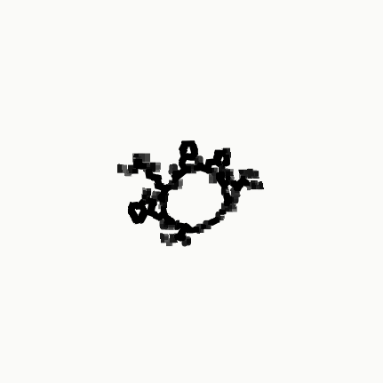 CCCCC(NC)C(=O)NC1CC(=O)NCCCCCC(C(N)=O)NC(=O)C(Cc2c[nH]c3ccccc23)NC(=O)C(CCCNC(=N)N)NC(=O)C(Cc2ccccc2)NC(=O)C(Cc2cnc[nH]2)NC1=O